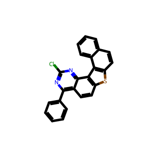 Clc1nc(-c2ccccc2)c2ccc3sc4ccc5ccccc5c4c3c2n1